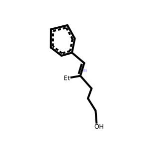 CC/C(=C\c1ccccc1)CCCO